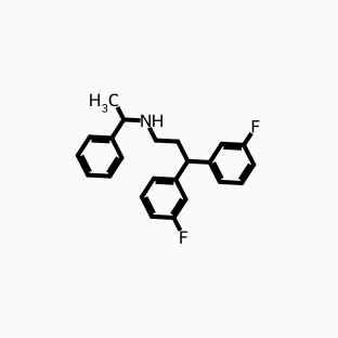 CC(NCCC(c1cccc(F)c1)c1cccc(F)c1)c1ccccc1